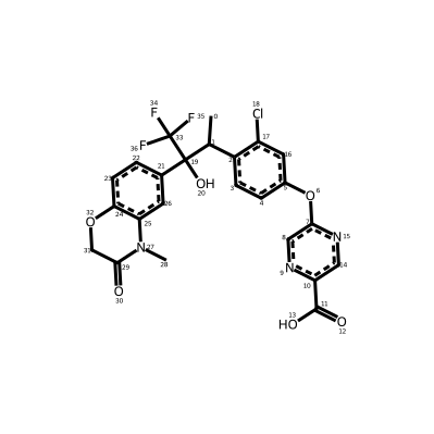 CC(c1ccc(Oc2cnc(C(=O)O)cn2)cc1Cl)C(O)(c1ccc2c(c1)N(C)C(=O)CO2)C(F)(F)F